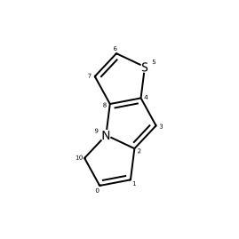 C1=Cc2cc3sccc3n2C1